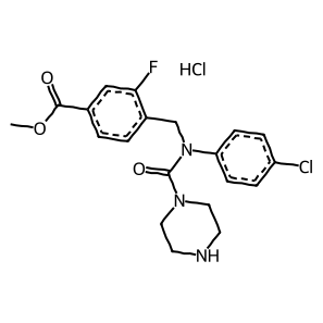 COC(=O)c1ccc(CN(C(=O)N2CCNCC2)c2ccc(Cl)cc2)c(F)c1.Cl